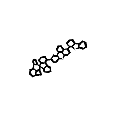 c1ccc2c(c1)-c1c(-c3ccc4c(c3)-c3cccc5c(-c6cccc7c6oc6ccccc67)ccc(c35)O4)cccc1C21c2ccccc2-c2cccc3cccc1c23